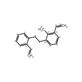 C=Cc1ccccc1CCc1cccc(C=C)c1C